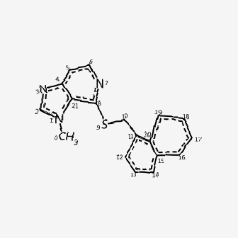 Cn1cnc2ccnc(SCc3cccc4ccccc34)c21